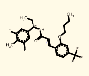 CCCCOc1cc(C(F)(F)F)ccc1/C=C/C(=O)N[C@H](CC)c1cc(F)c(C)c(F)c1